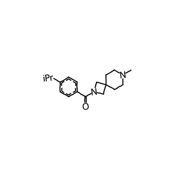 CC(C)c1ccc(C(=O)N2CC3(CCN(C)CC3)C2)cc1